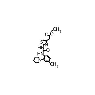 CCOC(=O)Cc1csc(NC(=O)Nc2ccc(C)cc2N2CCCCC2)n1